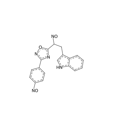 O=Nc1ccc(-c2noc(C(Cc3c[nH]c4ccccc34)N=O)n2)cc1